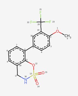 COc1ccc(-c2cccc3c2OS(=O)(=O)NC3)cc1C(F)(F)F